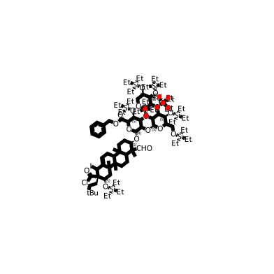 CC[Si](CC)(CC)OCC1O[C@@H](OC2C(O[C@@H]3OC[C@@H](O[Si](CC)(CC)CC)C(O[Si](CC)(CC)CC)C3O[Si](CC)(CC)CC)[C@H](O[Si](CC)(CC)CC)C(C(=O)OCc3ccccc3)O[C@H]2O[C@H]2CCC3(C)C(CCC4(C)C3CC=C3C(I)[C@@](CCC(C)(C)C)(C(=O)Cl)[C@@H](O[Si](CC)(CC)CC)CC34C)C2(C)C=O)C(O[Si](CC)(CC)CC)C(O[Si](CC)(CC)CC)[C@H]1O[Si](CC)(CC)CC